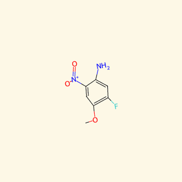 COc1cc([N+](=O)[O-])c(N)cc1F